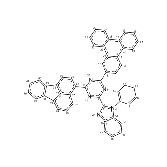 C1=CC(n2c(-c3nc(-c4ccc5c6ccccc6c6ccccc6c5c4)nc(-c4ccc5c6c(cccc46)-c4ccccc4-5)n3)nc3ccccc32)=CCC1